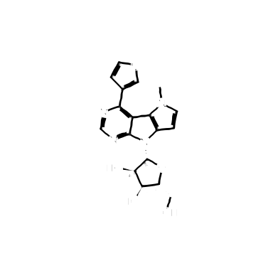 Cn1ccc2c1c1c(-c3ccoc3)ncnc1n2[C@@H]1O[C@H](CO)[C@@H](O)[C@H]1O